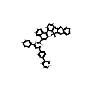 CC1(C)c2cc3ccccc3cc2-c2cccc(-c3ccc(-c4nc(-c5ccccc5)cc(-c5ccc(-c6cccnc6)cc5)n4)c4ccccc34)c21